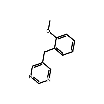 COc1ccccc1Cc1cncnc1